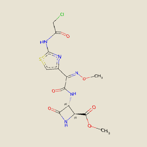 CON=C(C(=O)N[C@H]1C(=O)N[C@@H]1C(=O)OC)c1csc(NC(=O)CCl)n1